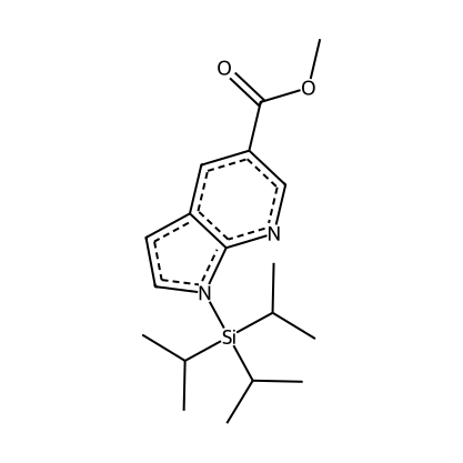 COC(=O)c1cnc2c(ccn2[Si](C(C)C)(C(C)C)C(C)C)c1